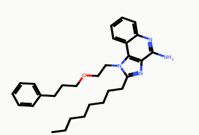 CCCCCCCCc1nc2c(N)nc3ccccc3c2n1CCOCCCc1ccccc1